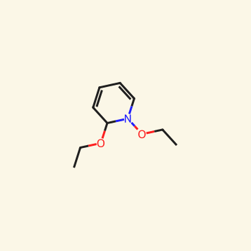 CCOC1C=CC=CN1OCC